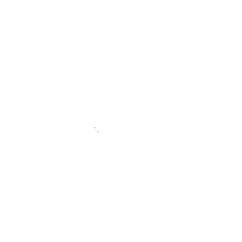 c1ccc(-c2cccc3c2[N]c2ccccc2-3)cc1